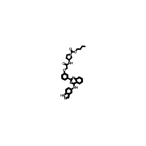 CCCCOC(=O)N1CCC(NC(=O)COc2cccc(-c3nc(Nc4ccc5[nH]ncc5c4)c4ccccc4n3)c2)C1